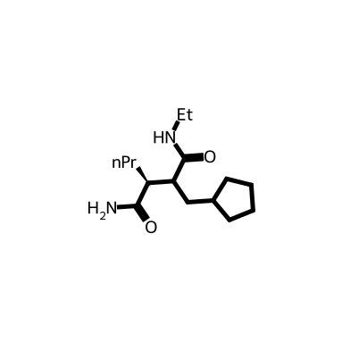 CCC[C@H](C(N)=O)C(CC1CCCC1)C(=O)NCC